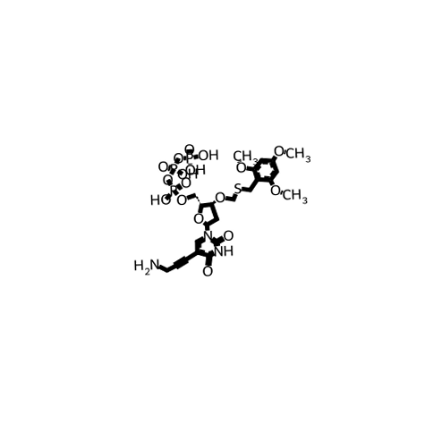 COc1cc(OC)c(CSCO[C@H]2CC(n3cc(C#CCN)c(=O)[nH]c3=O)O[C@@H]2COP(=O)(O)OP(=O)(O)OP(=O)(O)O)c(OC)c1